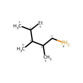 CCC(C)C(C)C(C)CP